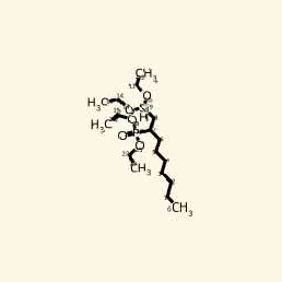 CCCCCCCC(C[SiH](OCC)OCC)P(=O)(OCC)OCC